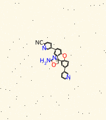 N#Cc1ccc(-c2ccc3c(c2)[C@]2(COC(N)=N2)c2cc(-c4cccnc4)ccc2O3)cn1